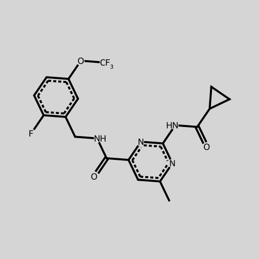 Cc1cc(C(=O)NCc2cc(OC(F)(F)F)ccc2F)nc(NC(=O)C2CC2)n1